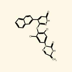 C=C1C=NN(c2cc(Cl)c(Oc3n[nH]c(=O)cc3-c3ccc4ccccc4c3)c(Cl)c2)C(=O)N1